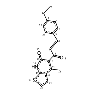 CCc1ccc(C=CC(=O)c2c(C)c3ccsc3[nH]c2=O)cc1